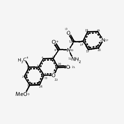 COc1cc(C)c2cc(C(=O)N(N)C(=O)c3ccncc3)c(=O)oc2c1